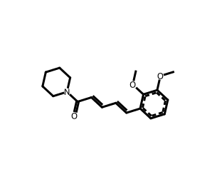 COc1cccc(/C=C/C=C/C(=O)N2CCCCC2)c1OC